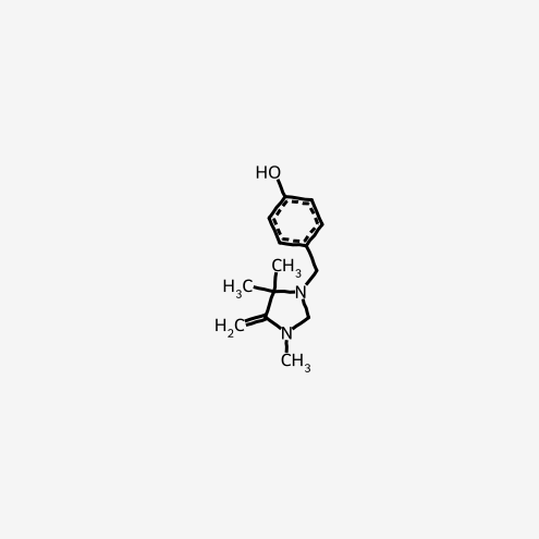 C=C1N(C)CN(Cc2ccc(O)cc2)C1(C)C